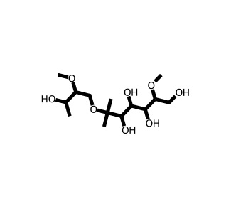 COC(COC(C)(C)C(O)C(O)C(O)C(CO)OC)C(C)O